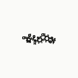 O=C(Nc1ccc(-c2cc3c(cc2Cl)OC(F)(F)O3)cn1)c1nsc(Cl)c1Cl